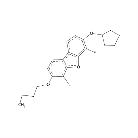 CCCCOc1ccc2c(oc3c(F)c(OC4CCCC4)ccc32)c1F